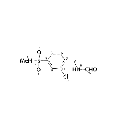 CNS(=O)(=O)c1ccc(CNC=O)c(Cl)c1